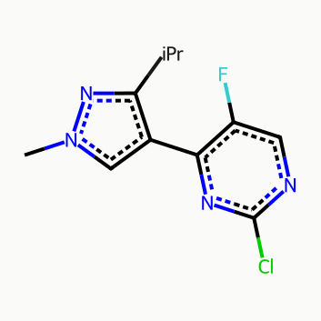 CC(C)c1nn(C)cc1-c1nc(Cl)ncc1F